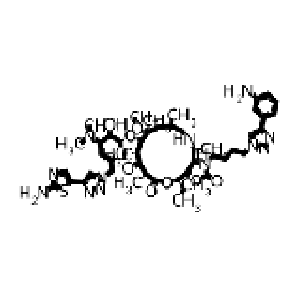 CC[C@H]1OC(=O)[C@H](C)C(=O)[C@H](C)[C@@H](O[C@@H]2OC(Cn3cc(-c4cnc(N)s4)nn3)CC(N(C)C)C2O)[C@](C)(OC)C[C@@H](C)CN[C@H](C)[C@H]2N(CCCCn3cc(-c4cccc(N)c4)nn3)C(=O)O[C@]12C